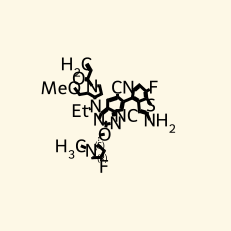 C=CC(=O)N1CCC(N(CC)c2nc(OC[C@@H]3C[C@@H](F)CN3C)nc3cc(-c4ccc(F)c5sc(N)c(C#N)c45)c(C#N)cc23)C1COC